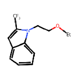 CCOCCn1c(C(F)(F)F)cc2ccccc21